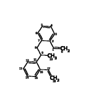 C=Cc1ccccc1CC(C)c1ccccc1C=C